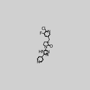 O=C1[C@H](Cc2cnc(Cl)c(F)c2)CCN1c1nnc(-c2ccncc2)[nH]1